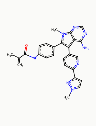 C=C(C)C(=O)Nc1ccc(-c2c(-c3ccc(-c4ccn(C)n4)nc3)c3c(N)ncnc3n2C)cc1